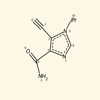 C#Cc1c(C(N)=O)ncn1C(C)C